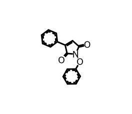 O=C1C=C(c2ccccc2)C(=O)N1Oc1ccccc1